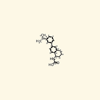 CN(C)c1cccc(-c2ccc3c(c2)SCCC3NC(=O)O)c1